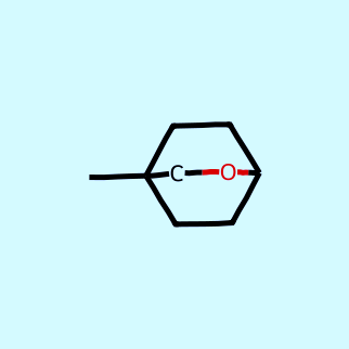 CC12CCC(CC1)OC2